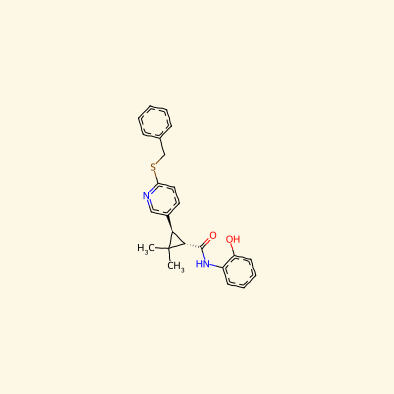 CC1(C)[C@@H](C(=O)Nc2ccccc2O)[C@@H]1c1ccc(SCc2ccccc2)nc1